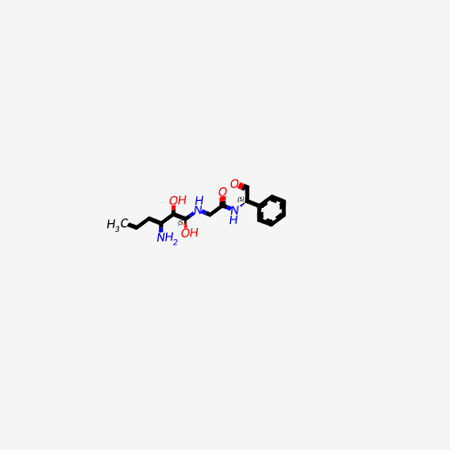 CCCC(N)C(O)[C@H](O)NCC(=O)N[C@H](C=O)c1ccccc1